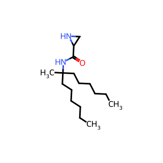 CCCCCCC(C)(CCCCCC)NC(=O)C1CN1